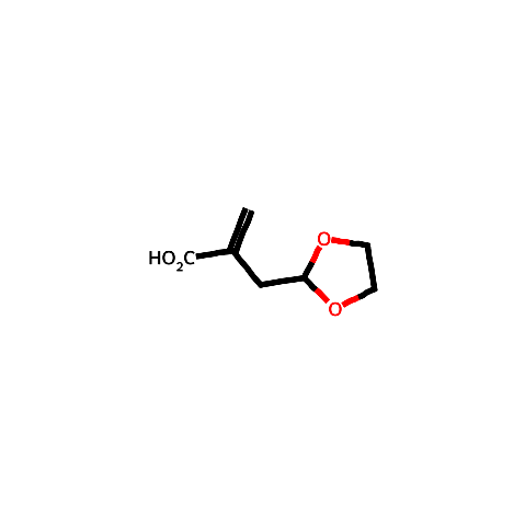 C=C(CC1OCCO1)C(=O)O